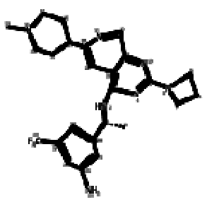 C[C@@H](Nc1nc(N2CCC2)nc2cnc(C3CCN(C)CC3)cc12)c1cc(N)cc(C(F)(F)F)c1